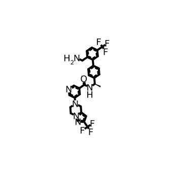 C[C@@H](NC(=O)c1cncc(N2CCn3nc(C(F)(F)F)cc3C2)c1)c1ccc(-c2cc(C(F)(F)F)ccc2CN)cc1